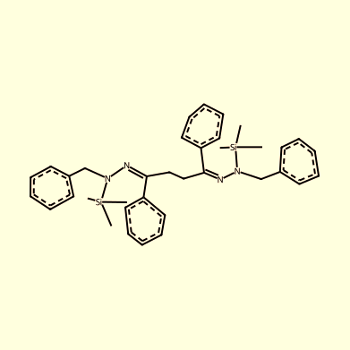 C[Si](C)(C)N(Cc1ccccc1)/N=C(/CC/C(=N/N(Cc1ccccc1)[Si](C)(C)C)c1ccccc1)c1ccccc1